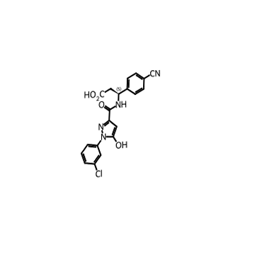 N#Cc1ccc([C@H](CC(=O)O)NC(=O)c2cc(O)n(-c3cccc(Cl)c3)n2)cc1